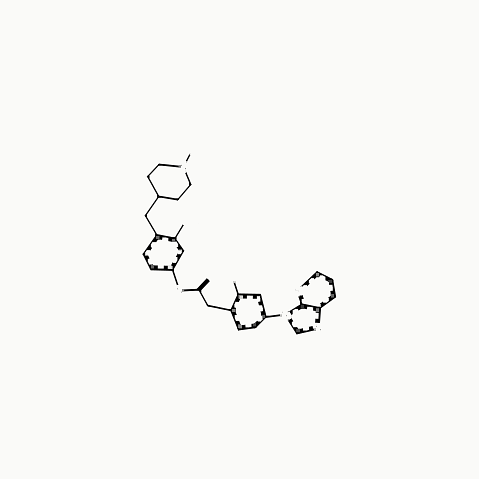 CCN1CCC(Cc2ccc(NC(=O)Cc3ccc(-n4cnc5cccnc54)cc3Cl)cc2C(F)(F)F)CC1